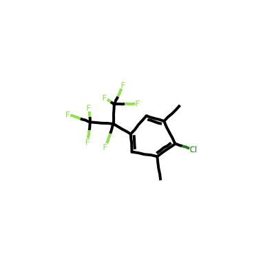 Cc1cc(C(F)(C(F)(F)F)C(F)(F)F)cc(C)c1Cl